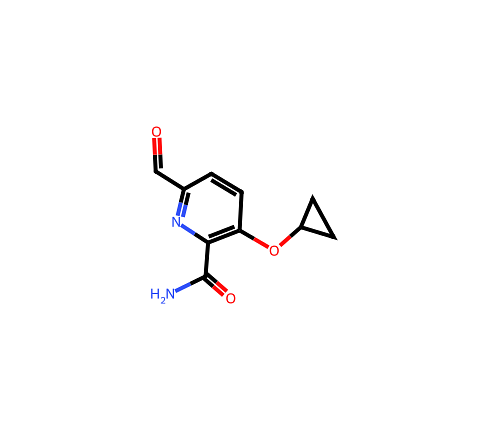 NC(=O)c1nc(C=O)ccc1OC1CC1